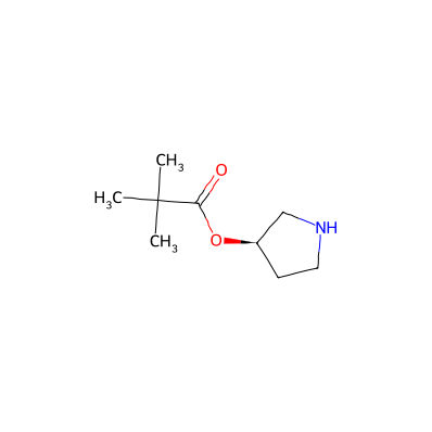 CC(C)(C)C(=O)O[C@@H]1CCNC1